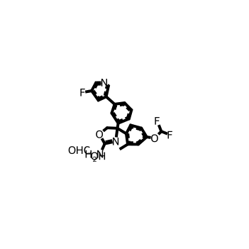 Cc1cc(OC(F)F)ccc1C1(c2cccc(-c3cncc(F)c3)c2)COC(N)=N1.O=CO